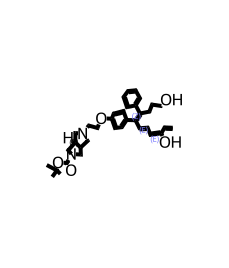 C=C\C(O)=C/C=C/C(=C(\CCCO)c1ccccc1)c1ccc(OCCN2CC3CN(C(=O)OC(C)(C)C)C[C@H]3C2)cc1